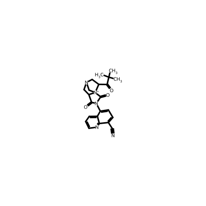 CC(C)(C)C(=O)C1CN2CC3C(=O)N(c4ccc(C#N)c5ncccc45)C(=O)[N+]31C2